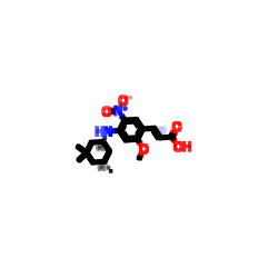 COc1cc(N[C@@H]2C[C@H](C)CC(C)(C)C2)c([N+](=O)[O-])cc1/C=C/C(=O)O